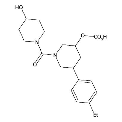 CCc1ccc(C2CC(OC(=O)O)CN(C(=O)N3CCC(O)CC3)C2)cc1